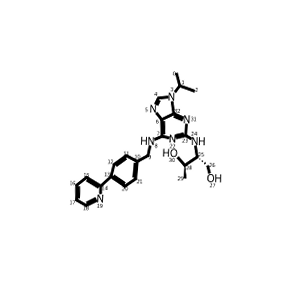 CC(C)n1cnc2c(NCc3ccc(-c4ccccn4)cc3)nc(N[C@H](CO)[C@@H](C)O)nc21